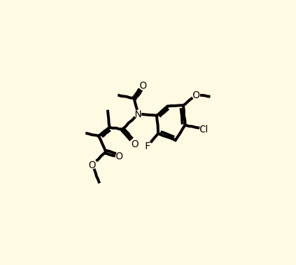 COC(=O)/C(C)=C(/C)C(=O)N(C(C)=O)c1cc(OC)c(Cl)cc1F